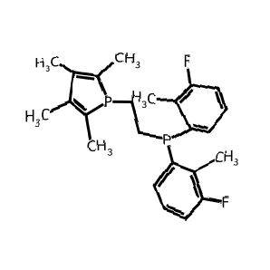 Cc1c(F)cccc1P(CCp1c(C)c(C)c(C)c1C)c1cccc(F)c1C